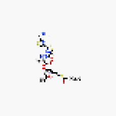 CCCCCCCC(=O)SCC/C=C/[C@H](CC(=O)C(C)C)OC(=O)[C@@H](NC(=O)[C@]1(C)CSC(c2csc(CN)n2)=N1)C(C)C